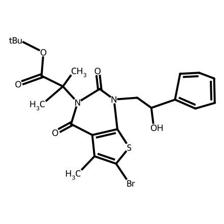 Cc1c(Br)sc2c1c(=O)n(C(C)(C)C(=O)OC(C)(C)C)c(=O)n2CC(O)c1ccccc1